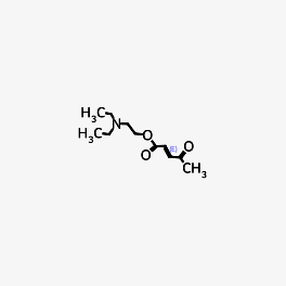 CCN(CC)CCOC(=O)/C=C/C(C)=O